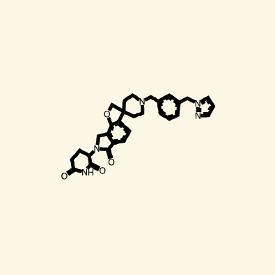 O=C1CCC(N2Cc3c(ccc4c3OCC43CCN(Cc4cccc(Cn5cccn5)c4)CC3)C2=O)C(=O)N1